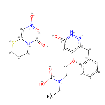 CCN(CCOc1cc(=O)[nH]nc1Cc1ccccc1)C(=O)O.O=CN1CCCSC1=C[N+](=O)[O-]